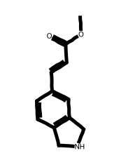 COC(=O)C=Cc1ccc2c(c1)CNC2